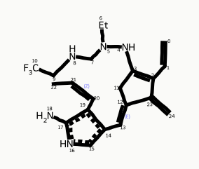 C=CC1=C(NN(CC)CNCC(F)(F)F)C/C(=C\c2c[nH]c(N)c2/C=C\C)C1=C